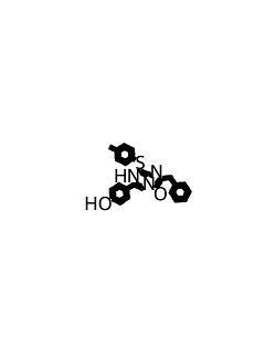 Cc1ccc(Sc2[nH]c(-c3ccc(O)cc3)cn3c(=O)c(Cc4ccccc4)nc2-3)cc1